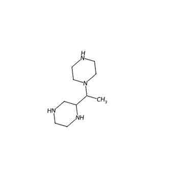 CC(C1CNCCN1)N1CCNCC1